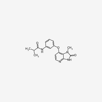 CC(C)C(=O)Nc1cccc(Oc2ccnc3[nH]c(=O)n(C)c23)c1